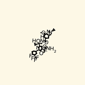 COc1cc(C(=O)NCC(O)(c2cc3c(c(-c4ccc(F)c(C(F)(F)F)c4)n2)OC[C@]3(C)C(N)=O)C2CC2)cc2cn(C3CC3)nc12